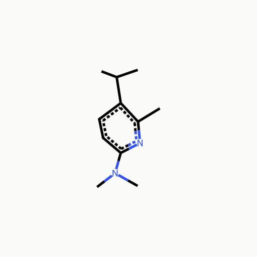 Cc1nc(N(C)C)ccc1C(C)C